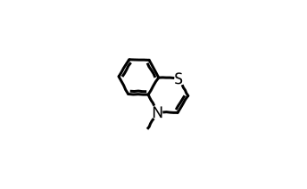 CN1C=CSc2ccccc21